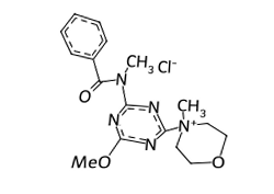 COc1nc(N(C)C(=O)c2ccccc2)nc([N+]2(C)CCOCC2)n1.[Cl-]